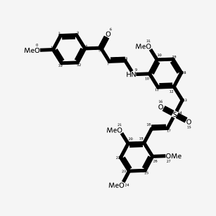 COc1ccc(C(=O)C=CNc2cc(CS(=O)(=O)C=Cc3c(OC)cc(OC)cc3OC)ccc2OC)cc1